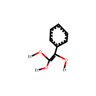 CCOC(OCC)=C(OCC)c1ccccc1